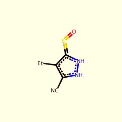 CCc1c(C#N)[nH][nH]c1=S=O